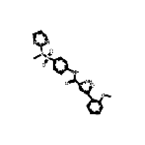 COc1ccccc1-c1cc(C(=O)Nc2ccc(S(=O)(=O)N(C)c3ncccn3)cc2)[nH]n1